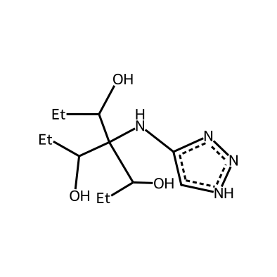 CCC(O)C(Nc1c[nH]nn1)(C(O)CC)C(O)CC